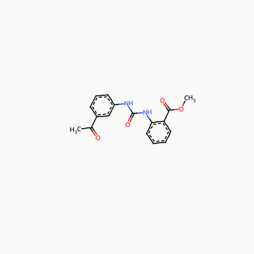 COC(=O)c1ccccc1NC(=O)Nc1cccc(C(C)=O)c1